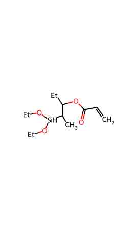 C=CC(=O)OC(CC)C(C)[SiH](OCC)OCC